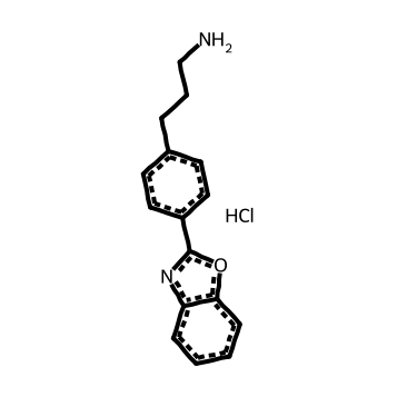 Cl.NCCCc1ccc(-c2nc3ccccc3o2)cc1